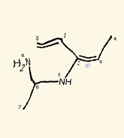 C=C/C(=C\C)NC(C)N